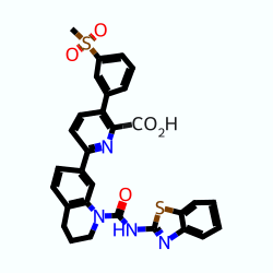 CS(=O)(=O)c1cccc(-c2ccc(-c3ccc4c(c3)N(C(=O)Nc3nc5ccccc5s3)CCC4)nc2C(=O)O)c1